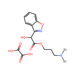 CCN(CC)CCCOC(=O)C(O)c1noc2ccccc12.O=C(O)C(=O)O